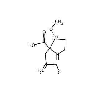 C=C(CCl)CC1(C(=O)O)NCC[C@H]1OC